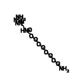 NCCOCCOCCOCCOCCOCCOCCOCCOCCC(=O)NCCCCn1nc(I)c2c(N)ncnc21